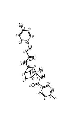 Cc1cnc(C(=O)N[C@@H]2CC(NC(=O)COc3ccc(Cl)cc3)C3CC2C3)cn1